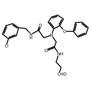 O=CCCNC(=O)CN(CC(=O)NCc1cccc(Cl)c1)c1ccccc1Oc1ccccc1